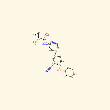 N#Cc1cc(-c2ccnc(NC(O)C3(O)CC3)c2)ccc1OC1CCOCC1